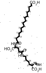 O=C(O)CCCCCCCCCCCCCCC(=O)N[C@@H](CCC(=O)NCCCC[C@H](N=P)C(=O)O)C(=O)O